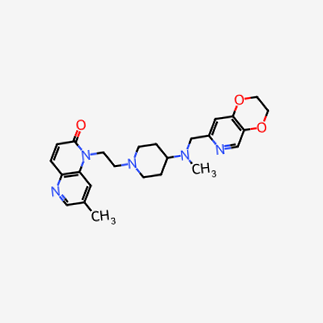 Cc1cnc2ccc(=O)n(CCN3CCC(N(C)Cc4cc5c(cn4)OCCO5)CC3)c2c1